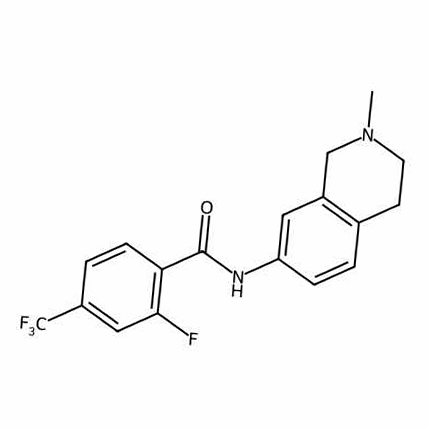 CN1CCc2ccc(NC(=O)c3ccc(C(F)(F)F)cc3F)cc2C1